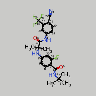 CC(C)(C)NC(=O)c1ccc(NC(C)(C)C(=O)Nc2ccc(C#N)c(C(F)(F)F)c2)cc1F